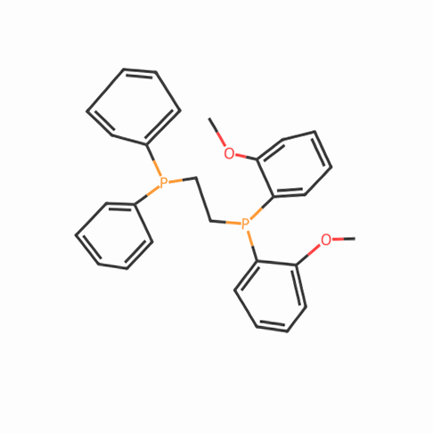 COc1ccccc1P(CCP(c1ccccc1)c1ccccc1)c1ccccc1OC